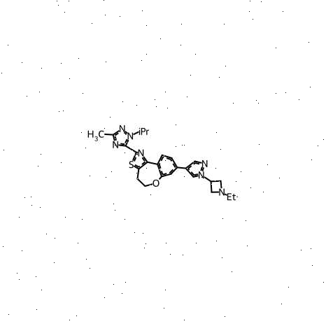 [CH2][CH]N1CC(n2cc(-c3ccc4c(c3)OCCc3sc(-c5nc(C)nn5C(C)C)nc3-4)cn2)C1